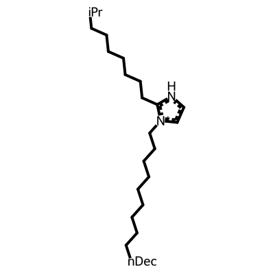 CCCCCCCCCCCCCCCCCCC[n+]1cc[nH]c1CCCCCCCC(C)C